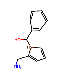 NCC1=CC=C[SH]1C(O)c1ccccc1